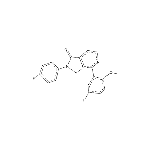 COc1ccc(F)cc1-c1nccc2c1CN(c1ccc(F)cc1)C2=O